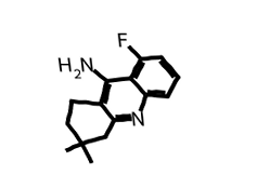 CC1(C)CCc2c(nc3cccc(F)c3c2N)C1